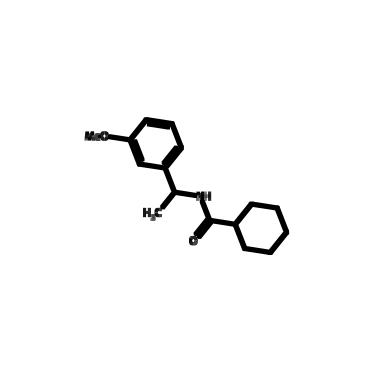 COc1cccc(C(C)NC(=O)C2CCCCC2)c1